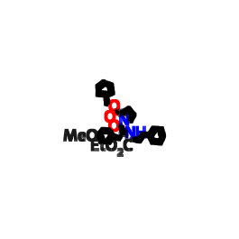 CCOC(=O)C(CCc1ccccc1)N[C@@H](Cc1ccc(OC)cc1)C(=O)N1CCC[C@H]1C(=O)OCc1ccccc1